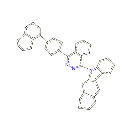 c1ccc2cc3c(cc2c1)c1ccccc1n3-c1nnc(-c2ccc(-c3cccc4ccccc34)cc2)c2ccccc12